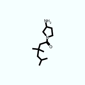 CC(C)CC(C)(C)CC(=O)N1CCC(N)C1